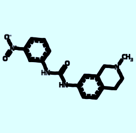 CN1CCc2ccc(NC(=O)Nc3cccc([N+](=O)[O-])c3)cc2C1